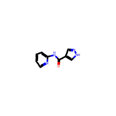 O=C(Nc1ccccn1)c1cn[nH]c1